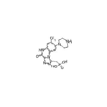 O=c1[nH]c2cc(C(F)(F)F)c(N3CCNCC3)cc2n2c(CP(=O)(O)O)nnc12